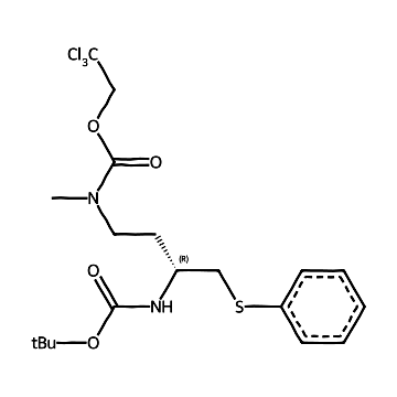 CN(CC[C@H](CSc1ccccc1)NC(=O)OC(C)(C)C)C(=O)OCC(Cl)(Cl)Cl